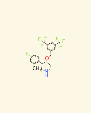 Cc1cc(F)ccc1C1CNCCC1OCc1cc(C(F)(F)F)cc(C(F)(F)F)c1